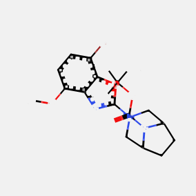 COc1ccc(Br)c2oc(N3CC4CCC(C3)N4C(=O)OC(C)(C)C)nc12